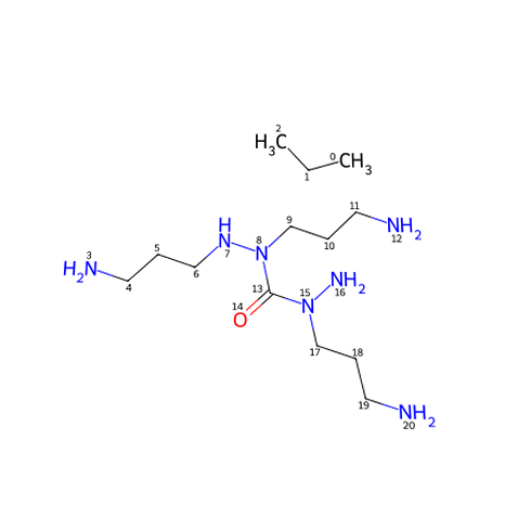 CCC.NCCCNN(CCCN)C(=O)N(N)CCCN